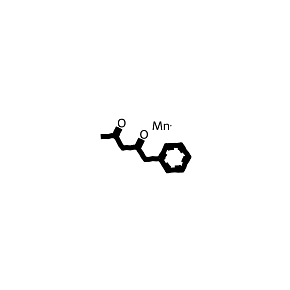 CC(=O)CC(=O)Cc1ccccc1.[Mn]